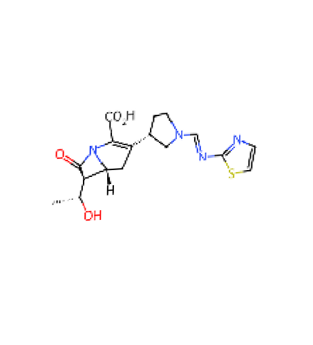 C[C@@H](O)[C@H]1C(=O)N2C(C(=O)O)=C([C@@H]3CCN(C=Nc4nccs4)C3)C[C@H]12